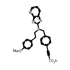 COc1ccc(CCN(Cc2ccc(C#CC(=O)O)cc2)c2nc3cccnc3o2)cc1